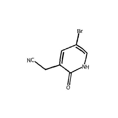 N#CCc1cc(Br)c[nH]c1=O